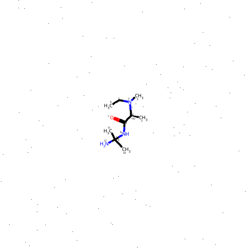 CCN(C)[C@@H](C)C(=O)NC(C)(C)N